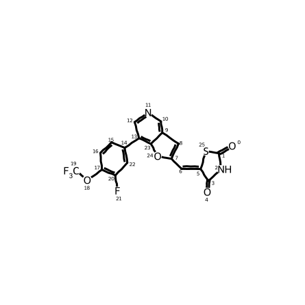 O=C1NC(=O)/C(=C/c2cc3cncc(-c4ccc(OC(F)(F)F)c(F)c4)c3o2)S1